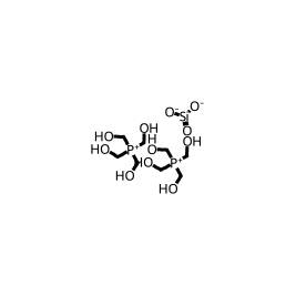 O=[Si]([O-])[O-].OC[P+](CO)(CO)CO.OC[P+](CO)(CO)CO